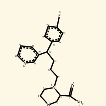 NC(=O)C1CNCCN1CCCC(c1ccc(F)cc1)c1cccnc1